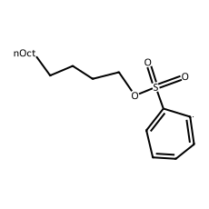 CCCCCCCCCCCCOS(=O)(=O)c1[c]cccc1